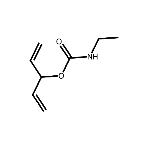 C=CC(C=C)OC(=O)NCC